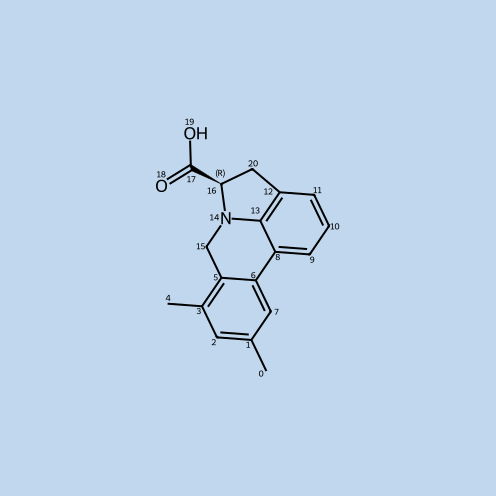 Cc1cc(C)c2c(c1)-c1cccc3c1N(C2)[C@@H](C(=O)O)C3